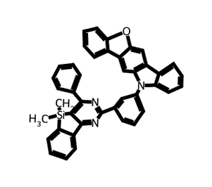 C[Si]1(C)c2ccccc2-c2nc(-c3cccc(-n4c5ccccc5c5cc6oc7ccccc7c6cc54)c3)nc(-c3ccccc3)c21